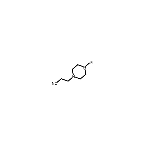 CC(C)N1CCN(CCC#N)CC1